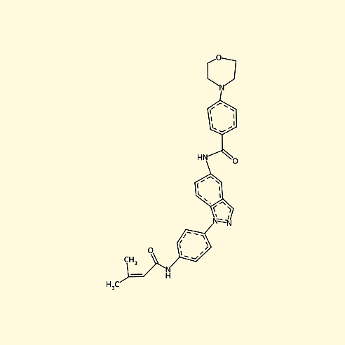 CC(C)=CC(=O)Nc1ccc(-n2ncc3cc(NC(=O)c4ccc(N5CCOCC5)cc4)ccc32)cc1